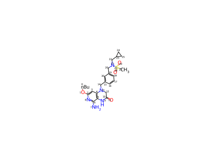 CCCCOc1cc2c(c(N)n1)NC(=O)CN2Cc1cccc(CN(CC2CC2)S(C)(=O)=O)c1